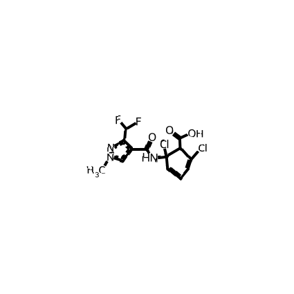 Cn1cc(C(=O)NC2(Cl)C=CC=C(Cl)C2C(=O)O)c(C(F)F)n1